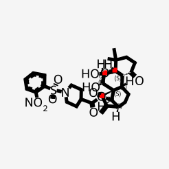 C=C1C(=O)[C@]23[C@H](OC(=O)C4CCN(S(=O)(=O)c5ccccc5[N+](=O)[O-])CC4)[C@H]1CC[C@H]2[C@@]12CO[C@@]3(O)[C@@H](O)[C@@H]1C(C)(C)CCC2=O